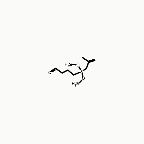 C=C(C)C[Si](CCCC=O)(O[SiH3])O[SiH3]